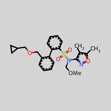 COCN(c1noc(C)c1C)S(=O)(=O)c1ccccc1-c1ccccc1COCC1CC1